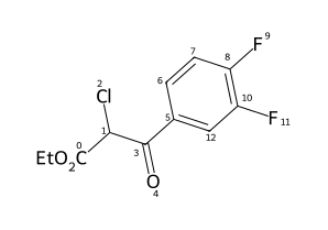 CCOC(=O)C(Cl)C(=O)c1ccc(F)c(F)c1